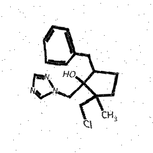 CC1(CCl)CCC(Cc2ccccc2)C1(O)Cn1cncn1